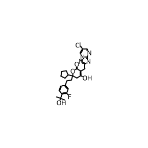 CC(C)(O)c1ccc(CCC2(C3CCCC3)CC(O)=C(Cc3nc4ncc(Cl)cn4n3)C(=O)O2)cc1F